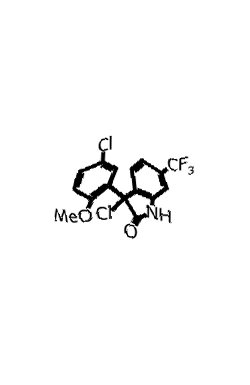 COc1ccc(Cl)cc1C1(Cl)C(=O)Nc2cc(C(F)(F)F)ccc21